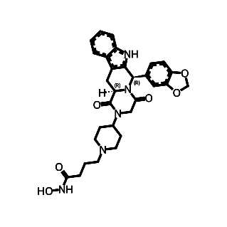 O=C(CCCN1CCC(N2CC(=O)N3[C@H](c4ccc5c(c4)OCO5)c4[nH]c5ccccc5c4C[C@@H]3C2=O)CC1)NO